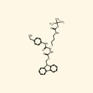 CC(C)(C)OC(=O)NCCCC[C@H](NC(=O)OCC1c2ccccc2-c2ccccc21)C(=O)Nc1ccc(CO)cc1